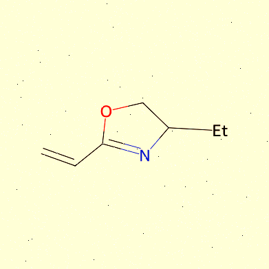 C=CC1=NC(CC)CO1